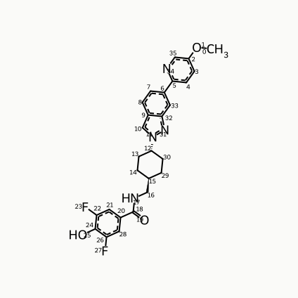 COc1ccc(-c2ccc3cn([C@H]4CC[C@H](CNC(=O)c5cc(F)c(O)c(F)c5)CC4)nc3c2)nc1